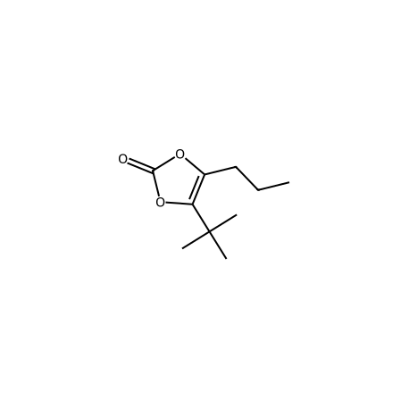 CCCc1oc(=O)oc1C(C)(C)C